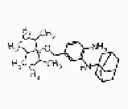 CC(C)[Si](OCc1ccc(N)c(NC23CC4CC(CC(C4)C2)C3)c1)(C(C)C)C(C)C